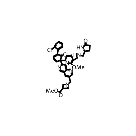 COC(=O)C1CN(Cc2cnc3cc(C4(c5ccc(CNCC6CCC(=O)N6)c(OC)n5)C=CC=C(c5ccccc5Cl)[C@H]4Cl)ncc3c2)C1